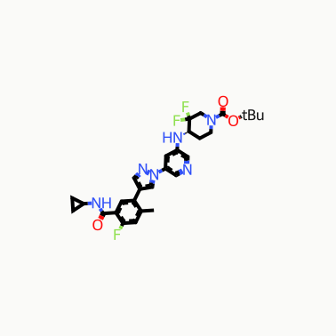 Cc1cc(F)c(C(=O)NC2CC2)cc1-c1cnn(-c2cncc(N[C@H]3CCN(C(=O)OC(C)(C)C)CC3(F)F)c2)c1